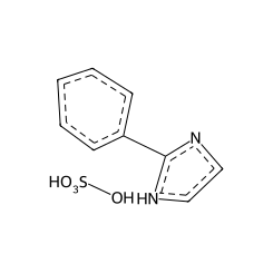 O=S(=O)(O)O.c1ccc(-c2ncc[nH]2)cc1